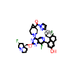 CCc1c(F)ccc2cc(O)cc(-c3ncc4c(N5CCC6CC6(C(=O)n6ccc(C)n6)CC5)nc(OC[C@@]56CCCN5C[C@H](F)C6)nc4c3F)c12